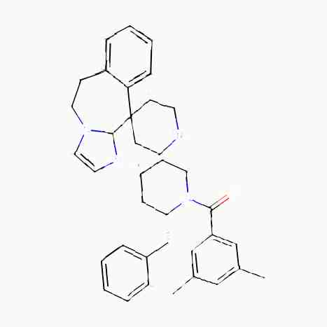 Cc1cc(C)cc(C(=O)N2CC[C@@H](N3C=CN4CCc5ccccc5C5(CCNCC5)C43)C[C@H]2Cc2ccccc2)c1